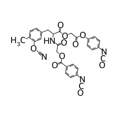 Cc1ccc(CC(NC(=O)COC(=O)c2ccc(N=C=O)cc2)C(=O)OCC(=O)Oc2ccc(N=C=O)cc2)cc1OC#N